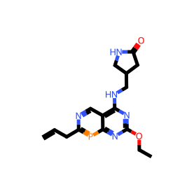 C=CCc1ncc2c(NCC3CNC(=O)C3)nc(OCC)nc2p1